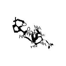 CN(C)C[C@@H]1NC(=N)N2CC(NC(=O)c3cccc4c3OCCC4(C)C)C(O)(O)[C@@]23NC(=N)NC13